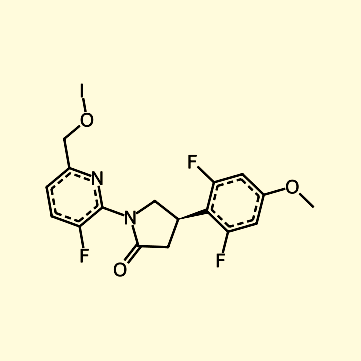 COc1cc(F)c([C@H]2CC(=O)N(c3nc(COI)ccc3F)C2)c(F)c1